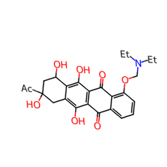 CCN(CC)COc1cccc2c1C(=O)c1c(O)c3c(c(O)c1C2=O)CC(O)(C(C)=O)CC3O